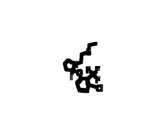 CCSCCN1CCCC1(I)Oc1cccc(Cl)c1C(F)(F)F